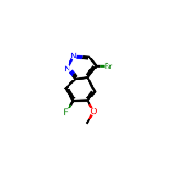 COc1cc2c(Br)cnnc2cc1F